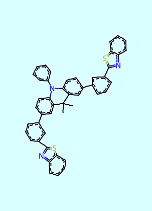 CC1(C)c2cc(-c3cccc(-c4nc5ccccc5s4)c3)ccc2N(c2ccccc2)c2ccc(-c3cccc(-c4nc5ccccc5s4)c3)cc21